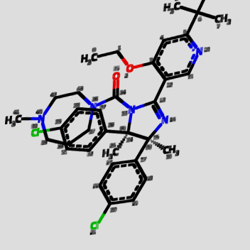 CCOc1cc(C(C)(C)C)ncc1C1=N[C@@](C)(c2ccc(Cl)cc2)[C@@](C)(c2ccc(Cl)cc2)N1C(=O)N1CCCN(C)CC1